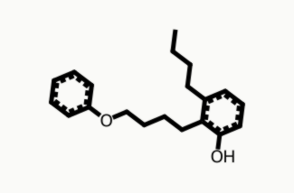 CCCCc1cccc(O)c1CCCCOc1ccccc1